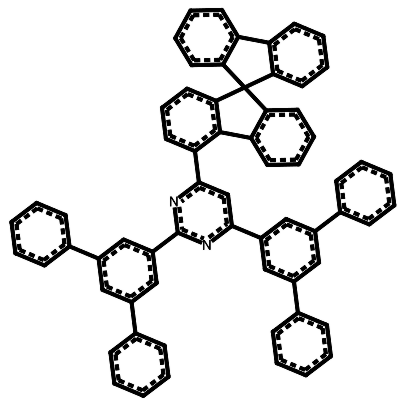 c1ccc(-c2cc(-c3ccccc3)cc(-c3cc(-c4cccc5c4-c4ccccc4C54c5ccccc5-c5ccccc54)nc(-c4cc(-c5ccccc5)cc(-c5ccccc5)c4)n3)c2)cc1